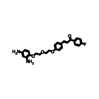 Nc1ccc(OCCOCCOc2ccc(C=CC(=O)c3ccc(F)cc3)cc2)c(N)c1